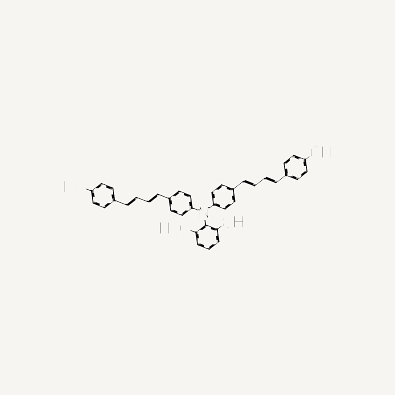 Cc1ccc(/C=C/C=C/c2ccc(N(c3ccc(/C=C/C=C/c4ccc(C)cc4)cc3)c3c(C)cccc3C)cc2)cc1